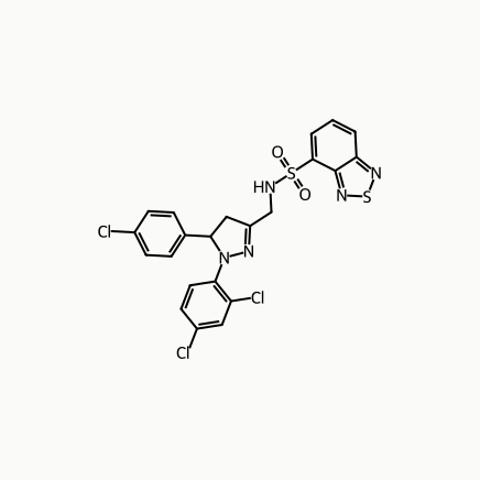 O=S(=O)(NCC1=NN(c2ccc(Cl)cc2Cl)C(c2ccc(Cl)cc2)C1)c1cccc2nsnc12